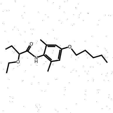 CCCCCOc1cc(C)c(NC(=O)C(CC)OCC)c(C)c1